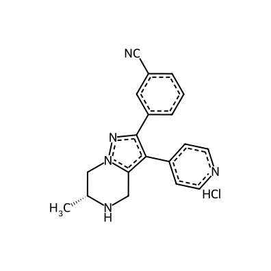 C[C@@H]1Cn2nc(-c3cccc(C#N)c3)c(-c3ccncc3)c2CN1.Cl